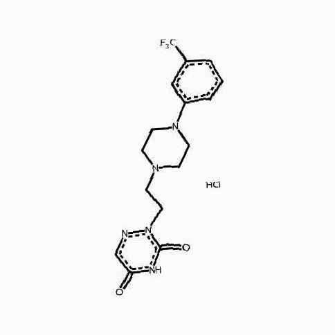 Cl.O=c1cnn(CCN2CCN(c3cccc(C(F)(F)F)c3)CC2)c(=O)[nH]1